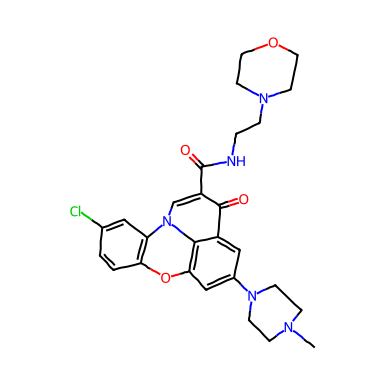 CN1CCN(c2cc3c4c(c2)c(=O)c(C(=O)NCCN2CCOCC2)cn4-c2cc(Cl)ccc2O3)CC1